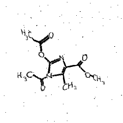 COC(=O)c1nc(OC(C)=O)n(C(C)=O)c1C